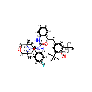 CC(C)(C)c1cc(CCc2ccccc2NC(=O)N[C@H]2C[C@H]3COC[C@@H](C2)N3Cc2ccc(F)cc2)cc(C(C)(C)C)c1O